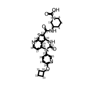 O=C(NC1CCCN(C(=O)O)C1)c1sc2nccc3c2c1NC(=O)N3c1ccc(OC2CCC2)nc1